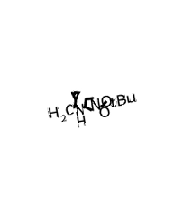 C=C(NC1CCN(C(=O)OC(C)(C)C)C1)C1CC1